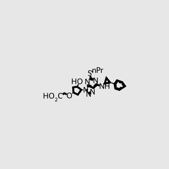 CCCSc1nc(NC2C[C@H]2c2ccccc2)c2nnn([C@@H]3C[C@H](OCC(=O)O)C[C@H]3O)c2n1